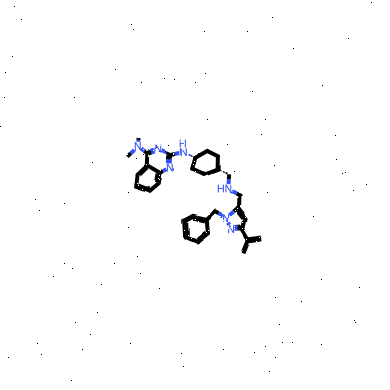 C=C(C)c1cc(CNC[C@H]2CC[C@@H](Nc3nc(N(C)C)c4ccccc4n3)CC2)n(Cc2ccccc2)n1